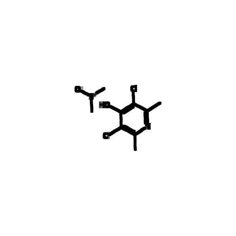 C[S+](C)[O-].Cc1nc(C)c(Cl)c(O)c1Cl